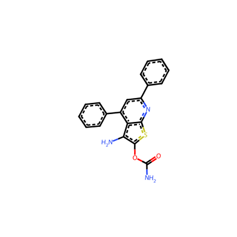 NC(=O)Oc1sc2nc(-c3ccccc3)cc(-c3ccccc3)c2c1N